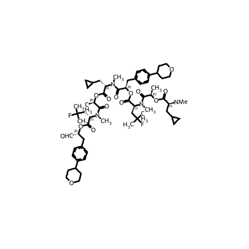 CN[C@@H](CC1CC1)C(=O)O[C@H](C)C(=O)N(C)[C@@H](CC(C)(C)F)C(=O)O[C@H](Cc1ccc(C2CCOCC2)cc1)C(=O)N(C)[C@@H](CC1CC1)C(=O)O[C@H](C)C(=O)N(C)[C@@H](CC(C)(C)F)C(=O)O[C@@H](C=O)Cc1ccc(C2CCOCC2)cc1